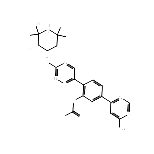 COc1cc(-c2ccc(-c3cnc(N[C@H]4CC(C)(C)NC(C)(C)[C@H]4F)nn3)c(OC(=O)C(F)(F)F)c2)ncn1